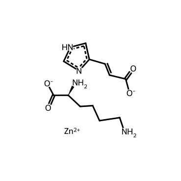 NCCCC[C@H](N)C(=O)[O-].O=C([O-])C=Cc1c[nH]cn1.[Zn+2]